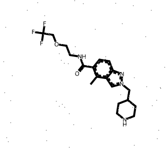 Cc1c(C(=O)NCCOCC(F)(F)F)ccc2nn(CC3CCNCC3)cc12